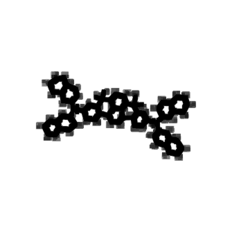 CC1(C)c2cc(N(c3ccc4ccccc4c3)c3ccc4ccccc4c3)ccc2-c2ccc3c4c(ccc1c24)C(C)(C)c1cc(N(c2ccc4ccccc4c2)c2ccc4ccccc4c2)ccc1-3